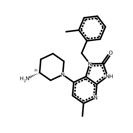 Cc1cc(N2CCC[C@@H](N)C2)c2c(n1)[nH]c(=O)n2Cc1ccccc1C